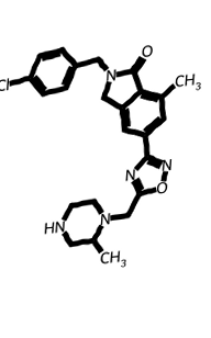 Cc1cc(-c2noc(CN3CCNCC3C)n2)cc2c1C(=O)N(Cc1ccc(Cl)cc1)C2